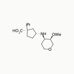 CO[C@H]1COCC[C@H]1N[C@@H]1CC[C@@](C(=O)O)(C(C)C)C1